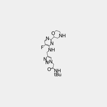 CC(C)(C)NC(=O)Cn1cc(CNc2nc(C3CNCCO3)ncc2F)nn1